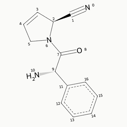 N#C[C@@H]1C=CCN1C(=O)[C@@H](N)c1ccccc1